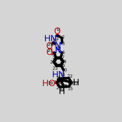 O=C1CCN(N2Cc3cc(CNC45C[C@@H]6C[C@@H](CC(O)(C6)C4)C5)ccc3C2=O)C(=O)N1